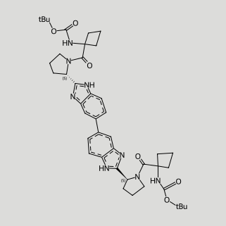 CC(C)(C)OC(=O)NC1(C(=O)N2CCC[C@H]2c2nc3cc(-c4ccc5[nH]c([C@@H]6CCCN6C(=O)C6(NC(=O)OC(C)(C)C)CCC6)nc5c4)ccc3[nH]2)CCC1